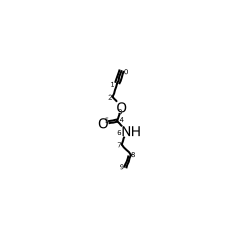 C#CCOC(=O)NCC=C